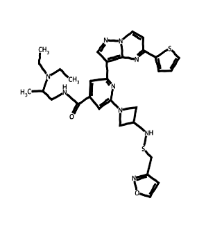 CCN(CC)C(C)CNC(=O)c1cc(-c2cnn3ccc(-c4cccs4)nc23)nc(N2CC(NSCc3ccon3)C2)c1